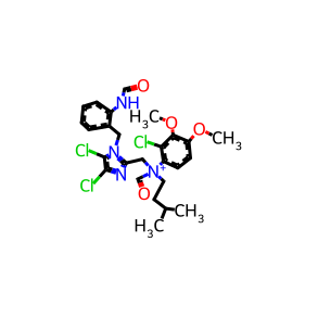 COc1ccc([N+](C=O)(CCC(C)C)Cc2nc(Cl)c(Cl)n2Cc2ccccc2NC=O)c(Cl)c1OC